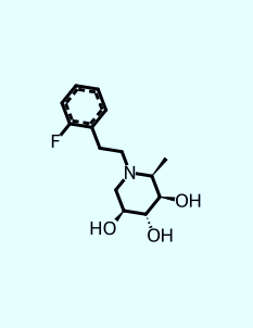 C[C@H]1[C@@H](O)[C@H](O)[C@@H](O)CN1CCc1ccccc1F